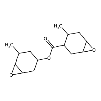 CC1CC2OC2CC1C(=O)OC1CC(C)C2OC2C1